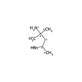 CC([NH])CC(C)(C)N